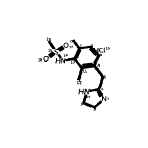 Cc1ccc(CC2=NCCN2)c(C)c1NS(C)(=O)=O.Cl